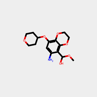 COC(O)c1c(N)cc(OC2CCOCC2)c2c1OCCO2